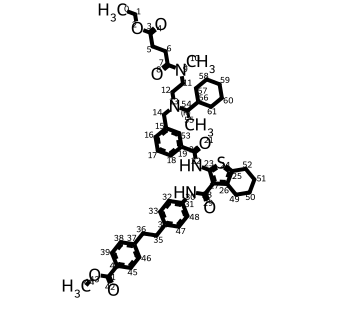 CCOC(=O)CCC(=O)N(C)CCN(Cc1cccc(C(=O)Nc2sc3c(c2C(=O)Nc2ccc(CCc4ccc(C(=O)OC)cc4)cc2)CCCC3)c1)[C@H](C)C1CCCCC1